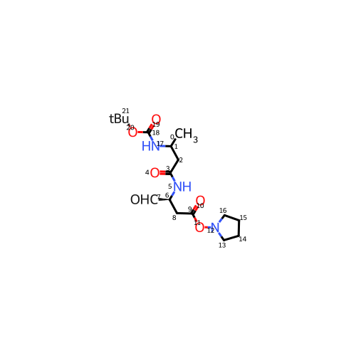 CC(CC(=O)N[C@H](C=O)CC(=O)ON1CCCC1)NC(=O)OC(C)(C)C